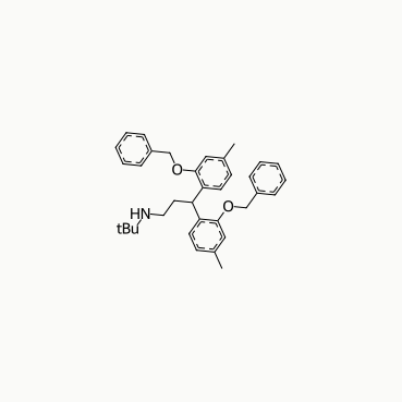 Cc1ccc(C(CCNC(C)(C)C)c2ccc(C)cc2OCc2ccccc2)c(OCc2ccccc2)c1